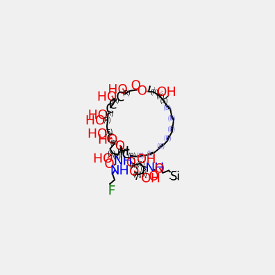 CC1OC(=O)C[C@H](O)C[C@H](O)CC[C@@H](O)[C@H](O)C[C@H](O)C[C@]2(O)C[C@H](O)[C@@H](NC(=O)NCCCF)[C@H](C[C@@H](O[C@@H]3O[C@H](C)[C@@H](O)[C@H](NC(=O)OCC[Si](C)(C)C)[C@@H]3O)/C=C/C=C/C=C/C=C/C=C/C=C/C=C/[C@H](C)[C@@H](O)[C@H]1C)O2